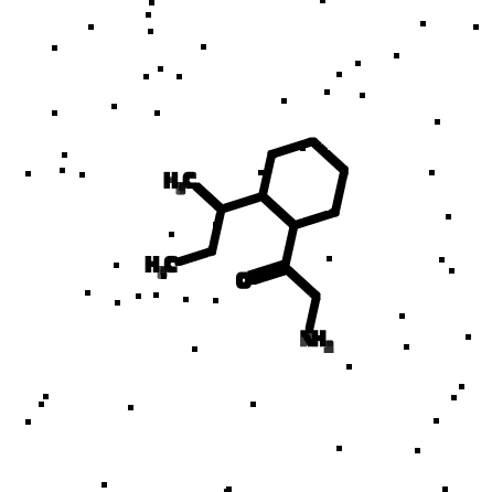 CCC(C)C1CCCCC1C(=O)CN